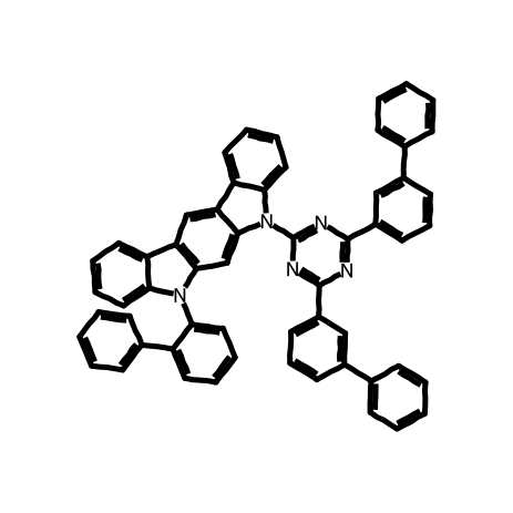 c1ccc(-c2cccc(-c3nc(-c4cccc(-c5ccccc5)c4)nc(-n4c5ccccc5c5cc6c7ccccc7n(-c7ccccc7-c7ccccc7)c6cc54)n3)c2)cc1